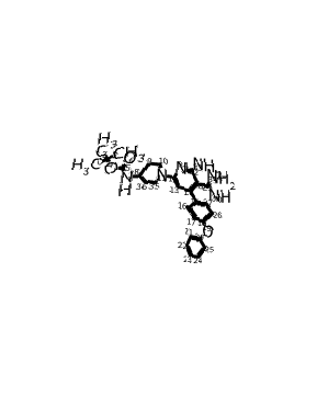 CC(C)(C)OC(=O)NC1CCN(c2cc(-c3ccc(Oc4ccccc4)cc3)c(C(=N)N)c(N)n2)CC1